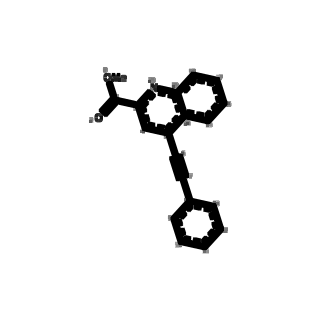 COC(=O)c1cc(C#Cc2ccccc2)c2ccccc2n1